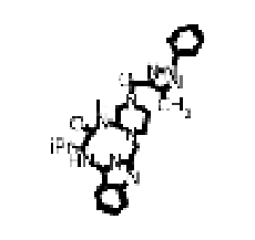 Cc1nn(-c2ccccc2)nc1C(=O)N1CCN2Cc3nc(c4ccccc4n3)N[C@@H](C(C)C)C(=O)NC2C1